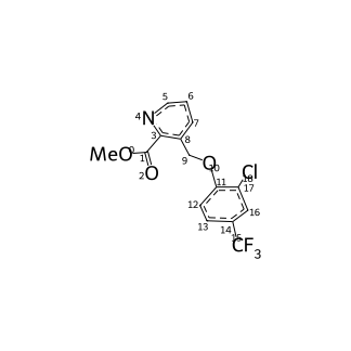 COC(=O)c1ncccc1COc1ccc(C(F)(F)F)cc1Cl